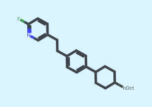 CCCCCCCCC1CCC(c2ccc(CCc3ccc(F)nc3)cc2)CC1